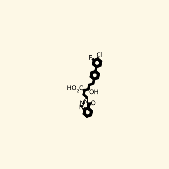 O=C(O)C(CCn1nnc2ccccc2c1=O)C(O)CCc1ccc(-c2ccc(Cl)c(F)c2)cc1